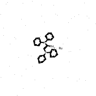 PC(=CP(c1ccccc1)c1ccccc1)P(c1ccccc1)c1ccccc1.[Ru]